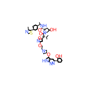 Cc1ncsc1-c1ccc(C(C)NC(=O)[C@@H]2C[C@@H](O)CN2C(=O)[C@@H](c2cc(OCCN3CC(Oc4c[nH]c5nnc(-c6ccccc6O)cc45)C3)no2)C(C)C)cc1